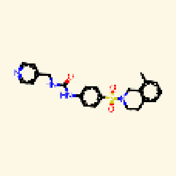 Cc1cccc2c1CN(S(=O)(=O)c1ccc(NC(=O)NCc3ccncc3)cc1)CC2